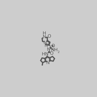 CC1CCc2c1nc1c(c2NC(=O)N=S(N)(=O)c2cc3n(n2)CCNC3=O)CCC1